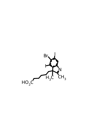 CC1=Nc2cc(I)c(Br)c(I)c2C1(C)CCCCCC(=O)O